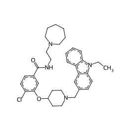 CCn1c2ccccc2c2cc(CN3CCC(Oc4cc(C(=O)NCCN5CCCCCC5)ccc4Cl)CC3)ccc21